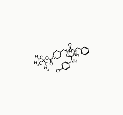 CC(C)(C)OC(=O)N1CCC(CNC(=O)[C@@H](Cc2ccccc2)NC(=O)Nc2ccc(Cl)cc2)CC1